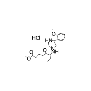 CCC(NN1CCNC(c2ccccc2OC)C1)C(=O)CCCC(=O)OC.Cl